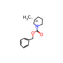 C[C@@H]1CCCN(C(=O)OCc2ccccc2)C1